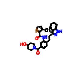 Cc1ccsc1C(=O)Nc1cc(C(=O)N2CCC(O)CC2)ccc1C=Cc1n[nH]c2ccccc12